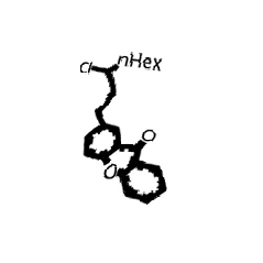 CCCCCCC(Cl)CCc1ccc2oc3ccccc3c(=O)c2c1